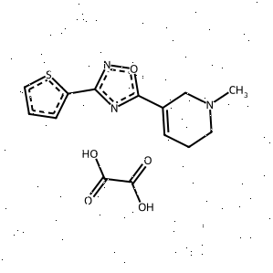 CN1CCC=C(c2nc(-c3cccs3)no2)C1.O=C(O)C(=O)O